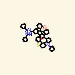 c1ccc(-c2nc(-c3ccccc3)nc(-c3ccc4c(c3)-c3ccc(-c5cccc6c5c5c7c(ccc5n6-c5ccccc5)sc5ccccc57)cc3C43c4ccccc4Oc4ccccc43)n2)cc1